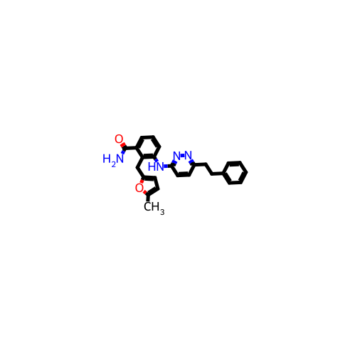 Cc1ccc(Cc2c(Nc3ccc(CCc4ccccc4)nn3)cccc2C(N)=O)o1